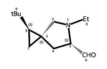 CCN1C[C@]2(C[C@H]1C=O)C[C@H]2C(C)(C)C